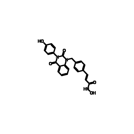 O=C(C=Cc1ccc(Cn2c(=O)n(-c3ccc(O)cc3)c(=O)c3ccccc32)cc1)NO